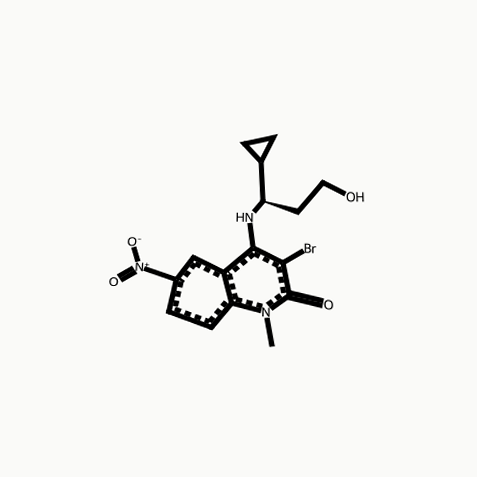 Cn1c(=O)c(Br)c(N[C@H](CCO)C2CC2)c2cc([N+](=O)[O-])ccc21